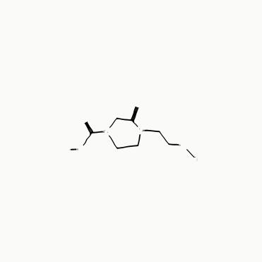 CC(C)OCCN1CCN(C(=O)OC(C)(C)C)CC1=O